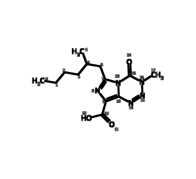 CCCCC(C)Cc1nc(C(=O)O)c2nnn(C)c(=O)n12